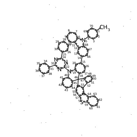 Cc1ccc(-n2c3ccccc3c3cc(-c4ccc5c(c4)N(c4nc(-c6ccccc6)nc(-c6ccccc6)n4)c4ccccc4C54c5ccccc5-c5c4ccc4sc6ccccc6c54)ccc32)cc1